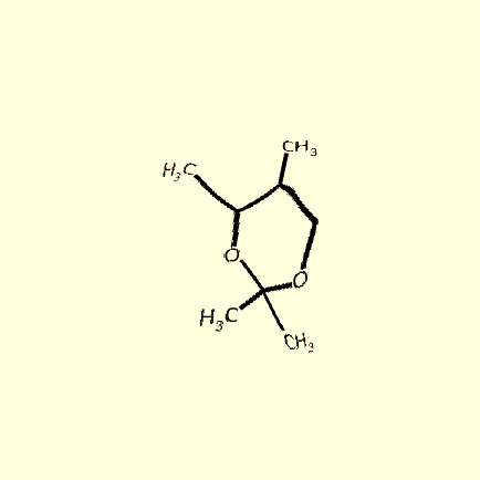 CC1COC(C)(C)OC1C